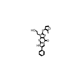 Cc1occc1Sc1nc2c(=O)n3cc(-c4ccccc4)[nH]c3nc2n1CCO